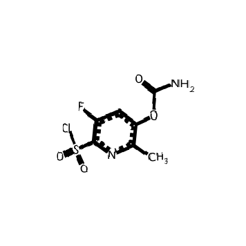 Cc1nc(S(=O)(=O)Cl)c(F)cc1OC(N)=O